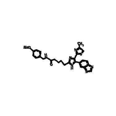 COc1ccc(CNC(=O)CCCCc2nc(-c3nc(C)cs3)c(-c3ccc4ncsc4c3)[nH]2)cc1